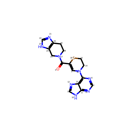 O=C(C1=CN(c2ncnc3[nH]cnc23)CCS1)N1CCc2nc[nH]c2C1